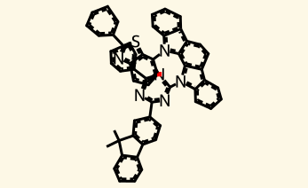 CC1(C)c2ccccc2-c2ccc(-c3nc(-c4ccccc4)nc(-n4c5ccccc5c5ccc6c7ccccc7n(-c7cccc8nc(-c9ccccc9)sc78)c6c54)n3)cc21